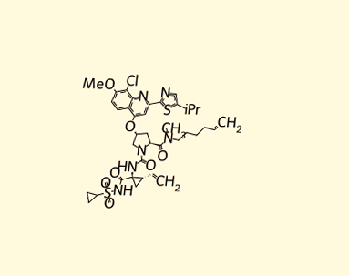 C=CCCCCN(C)C(=O)[C@@H]1C[C@H](Oc2cc(-c3ncc(C(C)C)s3)nc3c(Cl)c(OC)ccc23)CN1C(=O)N[C@]1(C(=O)NS(=O)(=O)C2CC2)C[C@H]1C=C